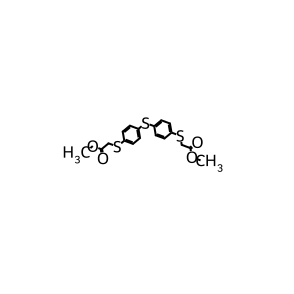 COC(=O)CSc1ccc(Sc2ccc(SCC(=O)OC)cc2)cc1